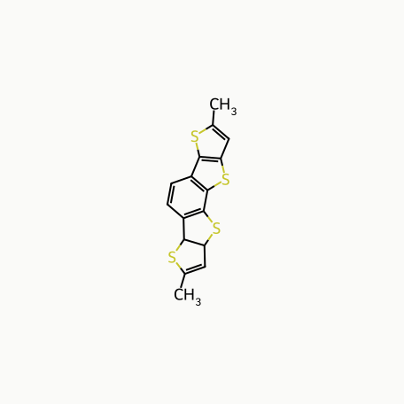 CC1=CC2Sc3c(ccc4c3sc3cc(C)sc34)C2S1